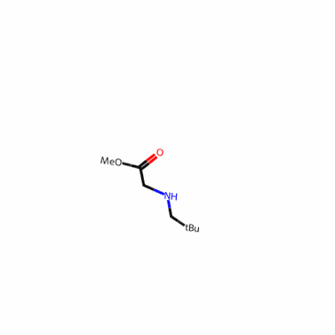 COC(=O)CNCC(C)(C)C